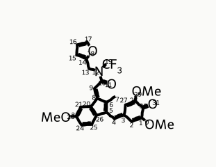 COC1=CC(=CC2=C(C)C(=CC(=O)N(Cc3ccco3)C(F)(F)F)c3cc(OC)ccc32)C=C(OC)C1=O